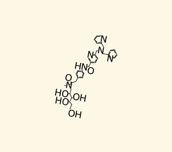 CN(C[C@H](O)[C@@H](O)[C@H](O)CCO)C(=O)Cc1ccc(NC(=O)c2ccc(CN(Cc3ccccn3)Cc3ccccn3)nc2)cc1